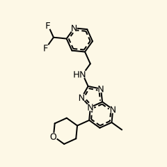 Cc1cc(C2CCOCC2)n2nc(NCc3ccnc(C(F)F)c3)nc2n1